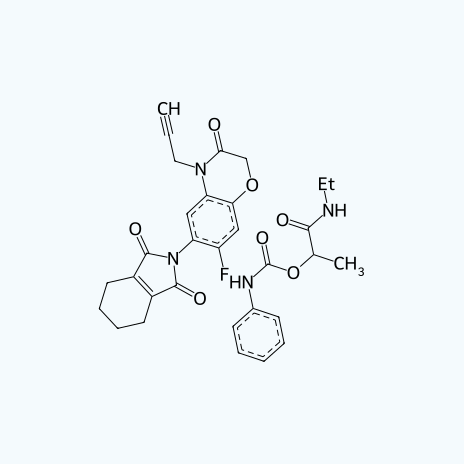 C#CCN1C(=O)COc2cc(F)c(N3C(=O)C4=C(CCCC4)C3=O)cc21.CCNC(=O)C(C)OC(=O)Nc1ccccc1